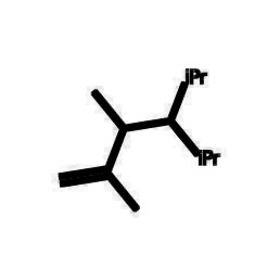 C=C(C)C(C)C(C(C)C)C(C)C